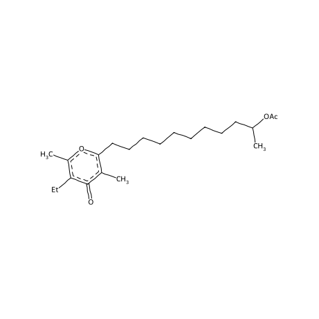 CCc1c(C)oc(CCCCCCCCCC(C)OC(C)=O)c(C)c1=O